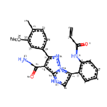 C=CC(=O)Nc1ccccc1-c1c[nH]c2c(C(N)=O)c(-c3ccc(C)c(OC)c3)nn12